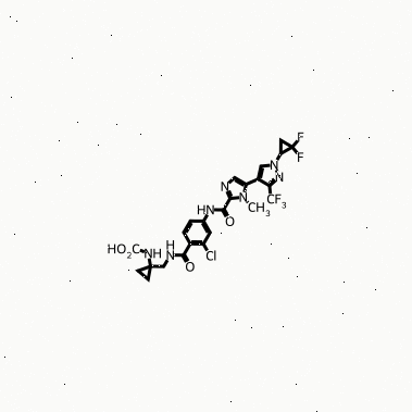 Cn1c(-c2cn(C3CC3(F)F)nc2C(F)(F)F)cnc1C(=O)Nc1ccc(C(=O)NCC2(NC(=O)O)CC2)c(Cl)c1